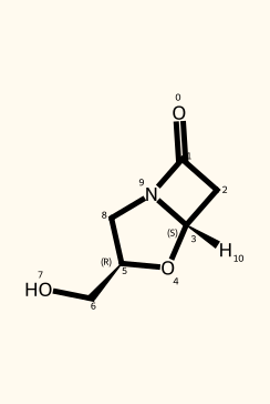 O=C1C[C@@H]2O[C@@H](CO)CN12